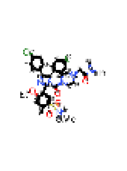 CCOc1cc(C)c(S(=O)(=O)N(C)OC)cc1C1=N[C@@H](c2ccc(Cl)cc2)[C@@H](c2ccc(Cl)cc2)N1C(=O)N1CCN(CC(=O)N(C)C(C)C)CC1